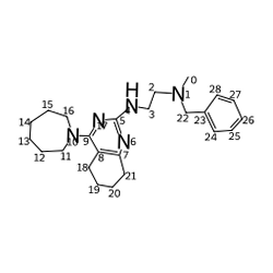 CN(CCNc1nc2c(c(N3CCCCCC3)n1)CCCC2)Cc1ccccc1